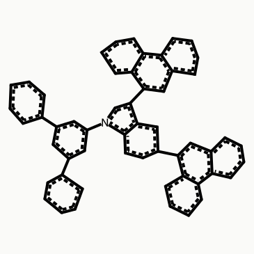 c1ccc(-c2cc(-c3ccccc3)cc(-n3cc(-c4cc5ccccc5c5ccccc45)c4cc(-c5cc6ccccc6c6ccccc56)ccc43)c2)cc1